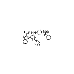 O=S(=O)(N[C@H]1CC[C@H](Nc2cc(-n3c(C(F)F)nc4ccccc43)nc(N3CCOCC3)n2)CC1)c1ccccc1